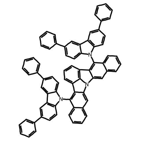 c1ccc(-c2ccc3c(c2)c2cc(-c4ccccc4)ccc2n3-c2c3ccccc3cc3c2c2cccc4c5c(-n6c7ccc(-c8ccccc8)cc7c7cc(-c8ccccc8)ccc76)c6ccccc6cc5n3c24)cc1